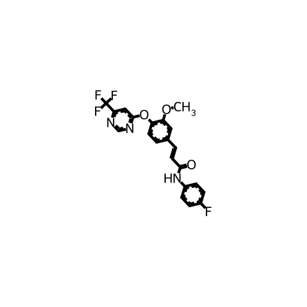 COc1cc(C=CC(=O)Nc2ccc(F)cc2)ccc1Oc1cc(C(F)(F)F)ncn1